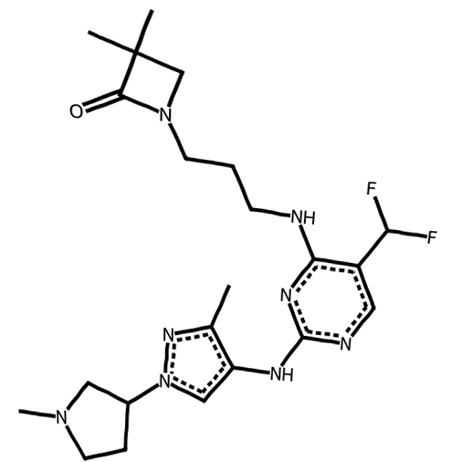 Cc1nn(C2CCN(C)C2)cc1Nc1ncc(C(F)F)c(NCCCN2CC(C)(C)C2=O)n1